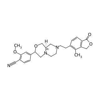 COc1cc(C2CN3CCN(CCc4ccc5c(c4C)COC5=O)C[C@@H]3CO2)ccc1C#N